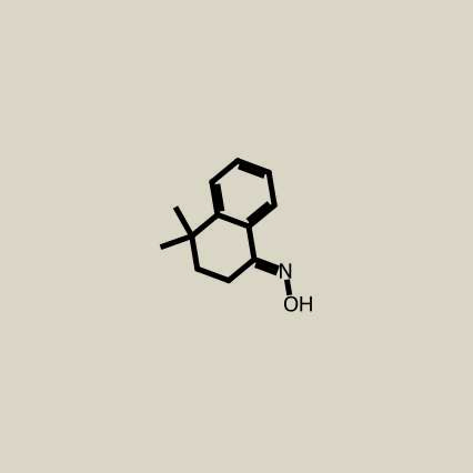 CC1(C)CCC(=NO)c2ccccc21